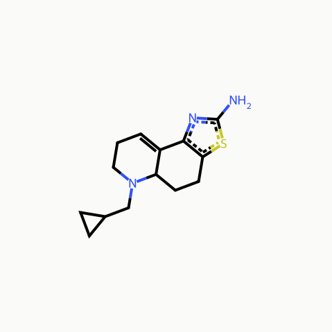 Nc1nc2c(s1)CCC1C2=CCCN1CC1CC1